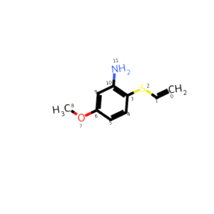 C=CSc1ccc(OC)cc1N